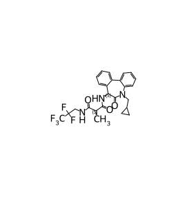 C[C@@H](C(=O)NCC(F)(F)C(F)(F)F)C(=O)N[C@@H]1C(=O)N(CC2CC2)c2ccccc2-c2ccccc21